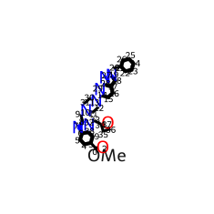 COC(=O)c1ccc2nc(CN3CCN(c4ccc5cn(Cc6ccccc6)nc5n4)CC3)n(CC3CCO3)c2c1